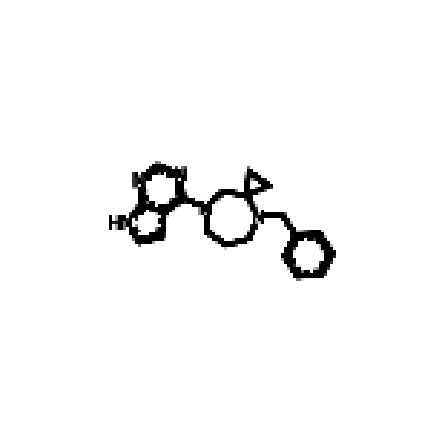 c1ccc(CN2CCCN(c3ncnc4[nH]ccc34)CC23CC3)cc1